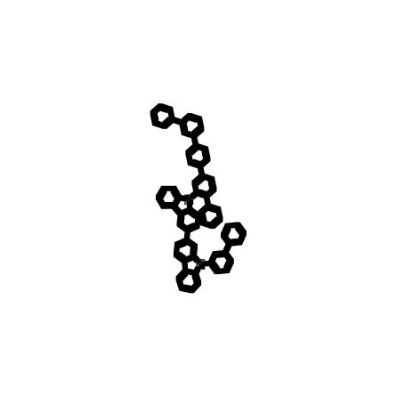 c1ccc(-c2cccc(-c3ccc(-c4ccc(-c5ccccc5)c(-n5c6ccccc6c6cc(-c7ccc8c9ccccc9n(-c9cccc(-c%10ccccc%10)c9)c8c7)ccc65)c4)cc3)c2)cc1